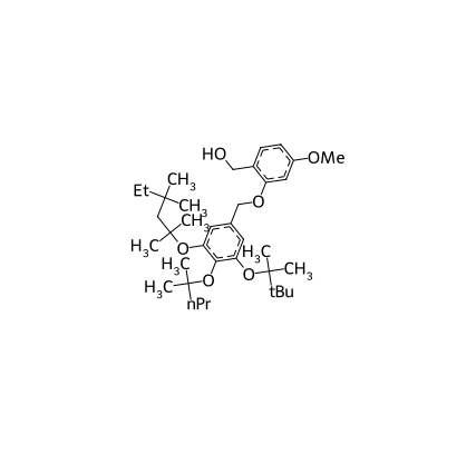 CCCC(C)(C)Oc1c(OC(C)(C)CC(C)(C)CC)cc(COc2cc(OC)ccc2CO)cc1OC(C)(C)C(C)(C)C